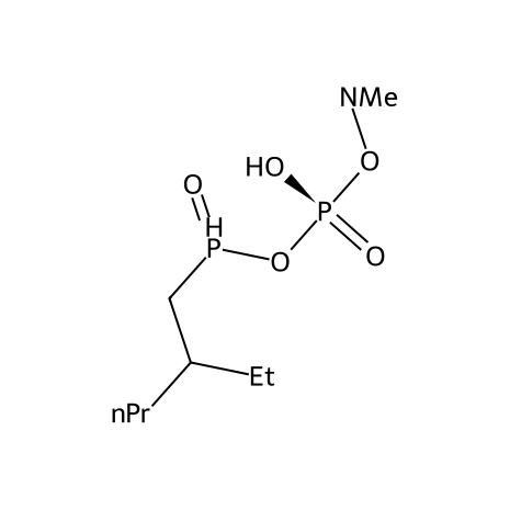 CCCC(CC)C[PH](=O)O[P@](=O)(O)ONC